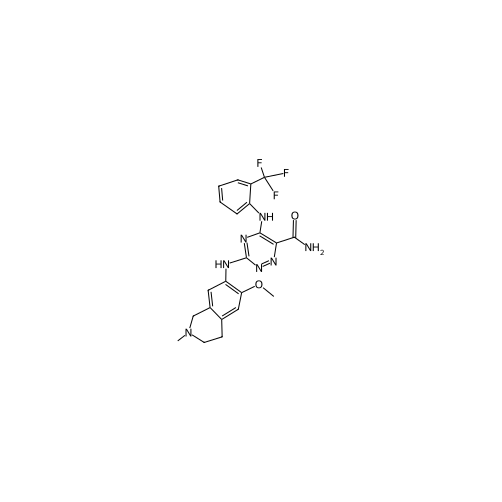 COc1cc2c(cc1Nc1nnc(C(N)=O)c(Nc3ccccc3C(F)(F)F)n1)CN(C)CC2